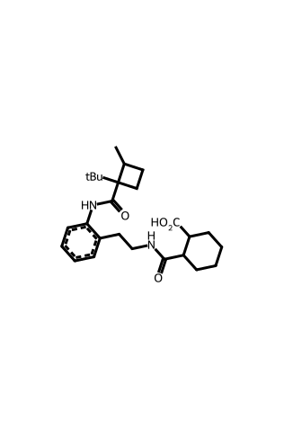 CC1CCC1(C(=O)Nc1ccccc1CCNC(=O)C1CCCCC1C(=O)O)C(C)(C)C